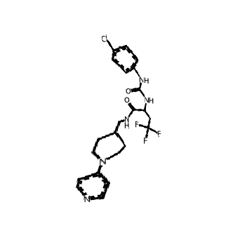 O=C(Nc1ccc(Cl)cc1)NC(CC(F)(F)F)C(=O)NCC1CCN(c2ccncc2)CC1